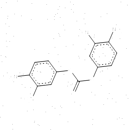 O=C(Oc1ccc([N+](=O)[O-])c([N+](=O)[O-])c1)Oc1ccc([N+](=O)[O-])c([N+](=O)[O-])c1